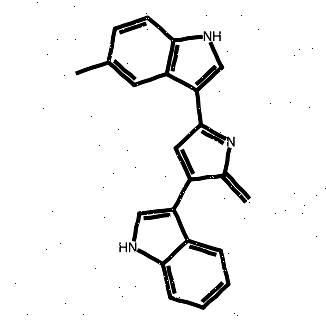 C=C1N=C(c2c[nH]c3ccc(C)cc23)C=C1c1c[nH]c2ccccc12